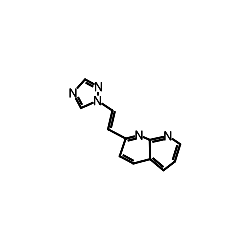 C(=Cn1cncn1)c1ccc2cccnc2n1